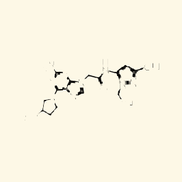 CCn1nc(C)cc1NC(=O)Cn1cnc2c(N3CCC(O)C3)nc(N)nc21